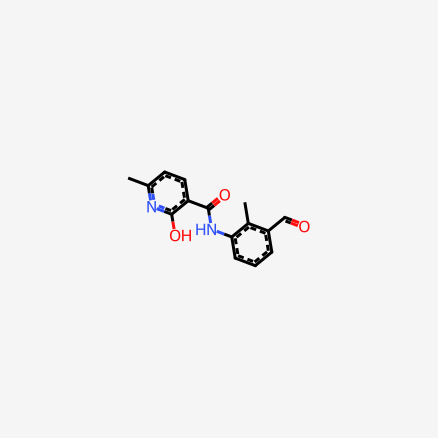 Cc1ccc(C(=O)Nc2cccc(C=O)c2C)c(O)n1